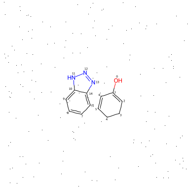 OC1=CCCC=C1.c1ccc2[nH]nnc2c1